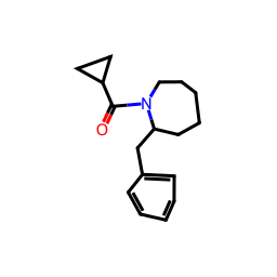 O=C(C1CC1)N1CCCCCC1Cc1ccccc1